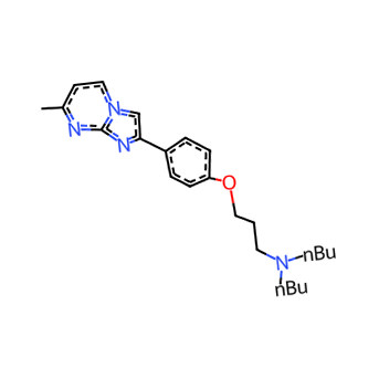 CCCCN(CCCC)CCCOc1ccc(-c2cn3ccc(C)nc3n2)cc1